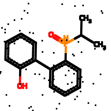 CC(C)[PH](=O)c1ccccc1-c1ccccc1O